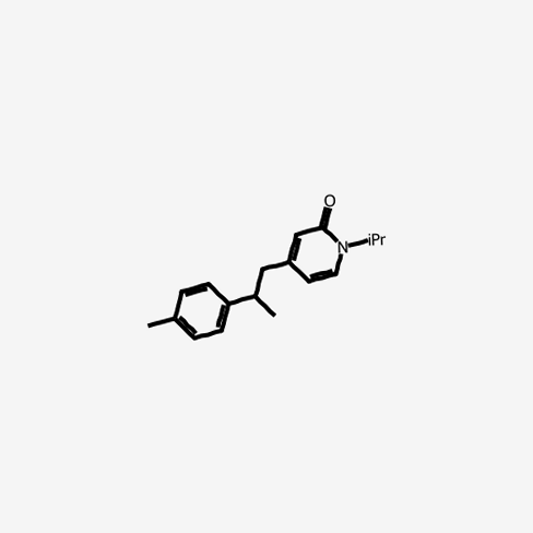 Cc1ccc(C(C)Cc2ccn(C(C)C)c(=O)c2)cc1